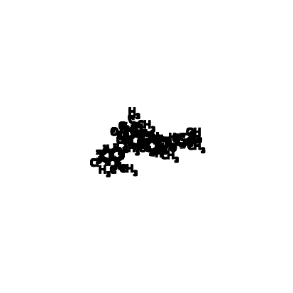 CC(=O)O[C@H](CN(CCN(C)C)Cc1ccc(Cl)cc1)[C@@]12CC[C@]3(C)[C@H](CC[C@@H]4[C@@]5(C)CC[C@H](OC(=O)CC(C)(C)C(=O)O)[C@H](C)[C@@H]5CC[C@]43C)C1=C(C(C)C)C(=O)C2